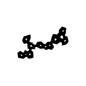 C1=CC2=C(CC1)C1=CC=C(c3ccc4oc5cc(-c6nc(-c7ccccc7)nc(-c7cccc8c7sc7ccccc78)n6)ccc5c4c3)CC1c1ccccc12